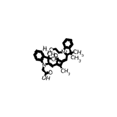 CCC[N+]1=C(C=C2C(=O)C(C=C3N(CC(=O)O)c4ccccc4C3(C)C)=C2C)C(C)(C)c2ccccc21